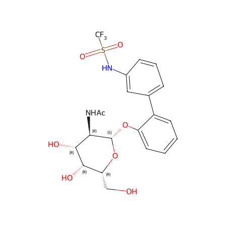 CC(=O)N[C@H]1[C@H](Oc2ccccc2-c2cccc(NS(=O)(=O)C(F)(F)F)c2)O[C@H](CO)[C@H](O)[C@@H]1O